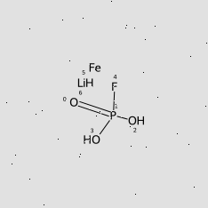 O=P(O)(O)F.[Fe].[LiH]